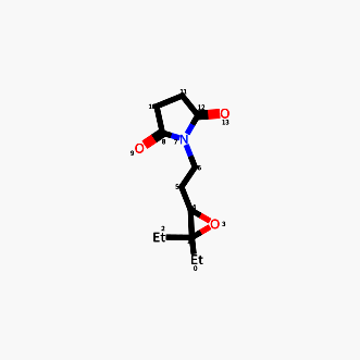 CCC1(CC)OC1CCN1C(=O)CCC1=O